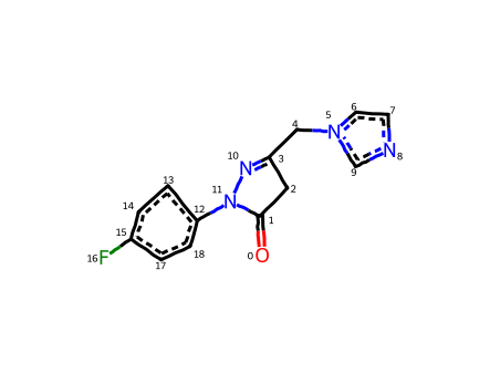 O=C1CC(Cn2ccnc2)=NN1c1ccc(F)cc1